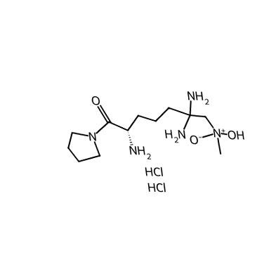 C[N+]([O-])(O)CC(N)(N)CCC[C@H](N)C(=O)N1CCCC1.Cl.Cl